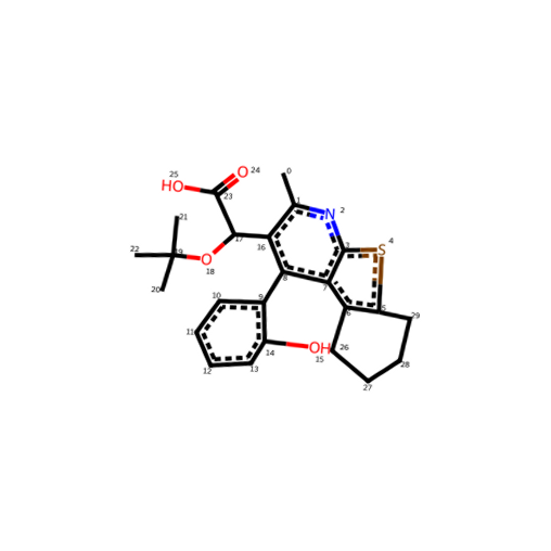 Cc1nc2sc3c(c2c(-c2ccccc2O)c1C(OC(C)(C)C)C(=O)O)CCCC3